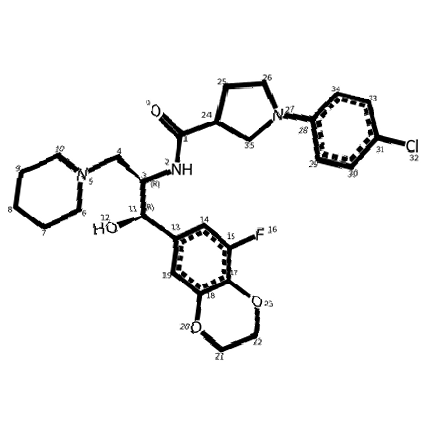 O=C(N[C@H](CN1CCCCC1)[C@H](O)c1cc(F)c2c(c1)OCCO2)C1CCN(c2ccc(Cl)cc2)C1